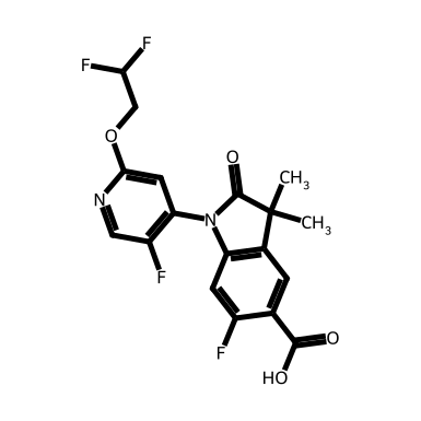 CC1(C)C(=O)N(c2cc(OCC(F)F)ncc2F)c2cc(F)c(C(=O)O)cc21